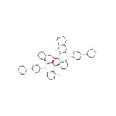 c1ccc(-c2ccc(N(c3cccc4c3-c3cccc5c(N(c6ccc(-c7ccccc7)cc6)c6ccc7ccccc7c6)ccc(c35)O4)c3cccc4ccccc34)cc2)cc1